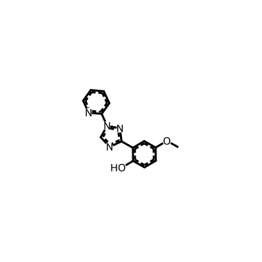 COc1ccc(O)c(-c2ncn(-c3ccccn3)n2)c1